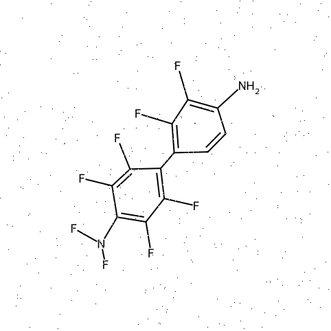 Nc1ccc(-c2c(F)c(F)c(N(F)F)c(F)c2F)c(F)c1F